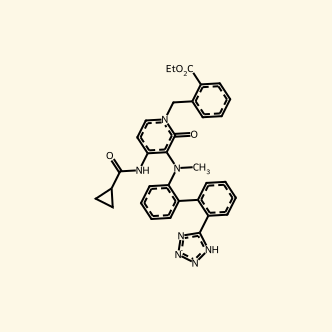 CCOC(=O)c1ccccc1Cn1ccc(NC(=O)C2CC2)c(N(C)c2ccccc2-c2ccccc2-c2nnn[nH]2)c1=O